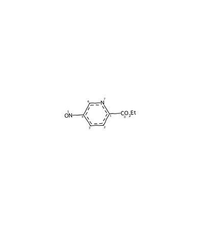 CCOC(=O)c1ccc(N=O)cn1